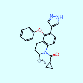 CC1CCc2c(ccc(-c3cn[nH]c3)c2Oc2ccccc2)N1C(=O)C1CC1